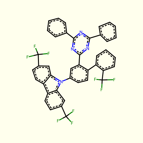 FC(F)(F)c1ccc2c3ccc(C(F)(F)F)cc3n(-c3ccc(-c4ccccc4C(F)(F)F)c(-c4nc(-c5ccccc5)nc(-c5ccccc5)n4)c3)c2c1